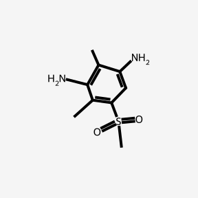 Cc1c(N)cc(S(C)(=O)=O)c(C)c1N